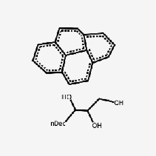 CCCCCCCCCCC(O)C(O)CO.c1cc2ccc3cccc4ccc(c1)c2c34